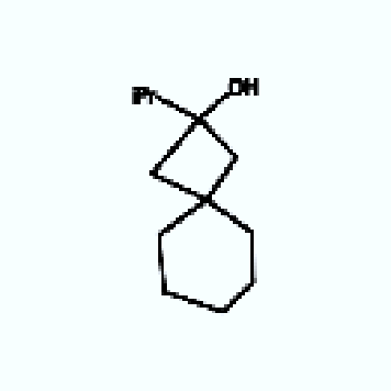 CC(C)C1(O)CC2(CCCCC2)C1